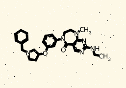 CCNc1ncc2c(n1)N(C)CCN(c1cccc(OC3CCN(CC4=CCCC=C4)C3)c1)C2=O